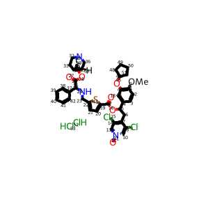 COc1ccc(C(Cc2c(Cl)c[n+]([O-])cc2Cl)OC(=O)c2ccc(CNC(C(=O)O[C@H]3CN4CCC3CC4)c3ccccc3)s2)cc1OC1CCCC1.Cl.Cl